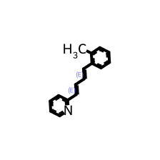 Cc1ccccc1/C=C/C=C/c1ccccn1